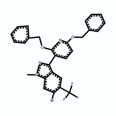 Cn1nc(-c2ccc(OCc3ccccc3)nc2OCc2ccccc2)c2cc(C(F)(F)F)c(Br)cc21